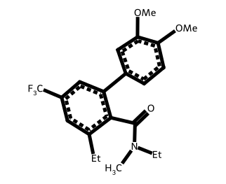 CCc1cc(C(F)(F)F)cc(-c2ccc(OC)c(OC)c2)c1C(=O)N(C)CC